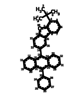 CC(C)(C)c1cccc2c1oc1ccc(-c3c4ccccc4c(-c4ccccc4)c4ccccc34)cc12